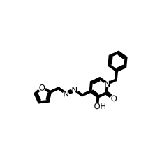 O=c1c(O)c(CN=NCc2ccco2)ccn1Cc1ccccc1